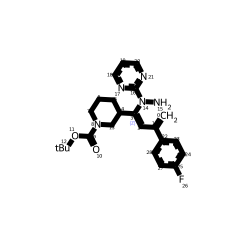 C=C(/C=C(/C1CCCN(C(=O)OC(C)(C)C)C1)N(N)c1ncccn1)c1ccc(F)cc1